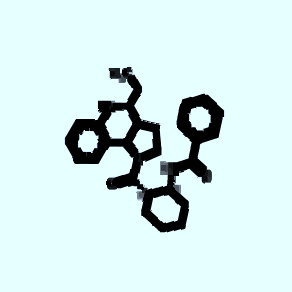 CCC1Nc2ccccc2C2C1CCN2C(=O)[C@H]1CCCC[C@H]1NC(=O)c1ccccc1